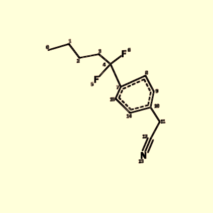 CCCCC(F)(F)c1ccc(CC#N)cc1